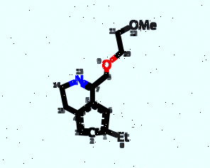 CCc1ccc2c(c1)C(COCCOC)=NCC2